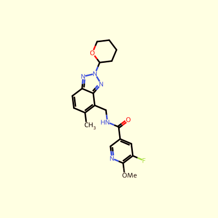 COc1ncc(C(=O)NCc2c(C)ccc3nn(C4CCCCO4)nc23)cc1F